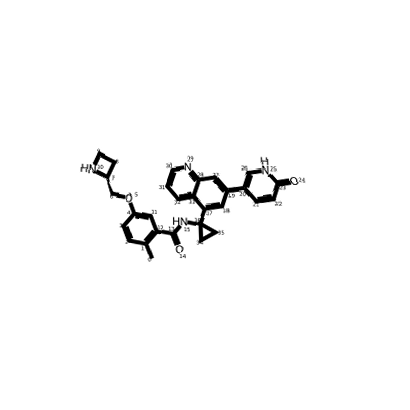 Cc1ccc(OC[C@@H]2CCN2)cc1C(=O)NC1(c2cc(-c3ccc(=O)[nH]c3)cc3ncccc23)CC1